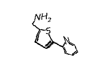 NCc1ccc(-c2ccccn2)s1